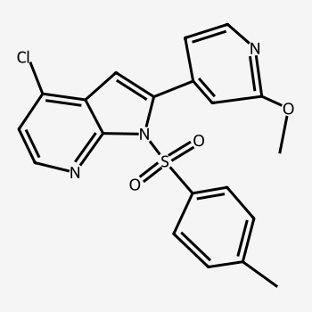 COc1cc(-c2cc3c(Cl)ccnc3n2S(=O)(=O)c2ccc(C)cc2)ccn1